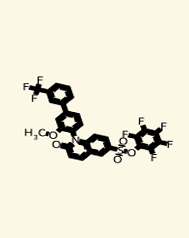 COc1cc(-c2cccc(C(F)(F)F)c2)ccc1-n1c(=O)ccc2cc(S(=O)(=O)Oc3c(F)c(F)c(F)c(F)c3F)ccc21